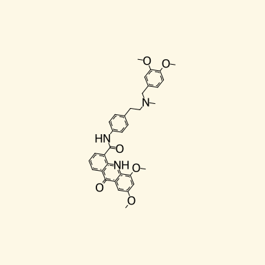 COc1cc(OC)c2[nH]c3c(C(=O)Nc4ccc(CCN(C)Cc5ccc(OC)c(OC)c5)cc4)cccc3c(=O)c2c1